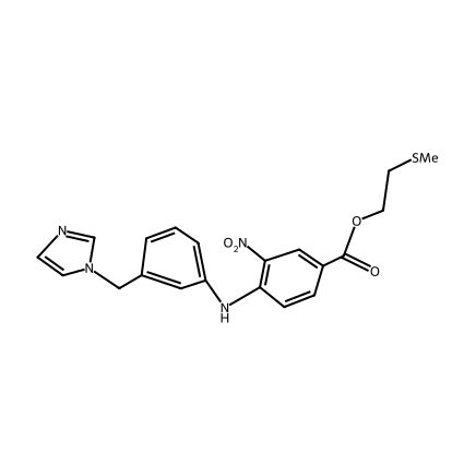 CSCCOC(=O)c1ccc(Nc2cccc(Cn3ccnc3)c2)c([N+](=O)[O-])c1